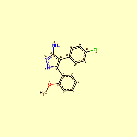 COc1ccccc1-c1n[nH]c(N)c1-c1ccc(Cl)cc1